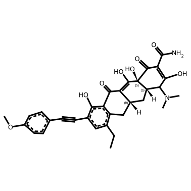 CCc1cc(C#Cc2ccc(OC)cc2)c(O)c2c1C[C@H]1C[C@H]3C(N(C)C)C(O)=C(C(N)=O)C(=O)[C@@]3(O)C(O)=C1C2=O